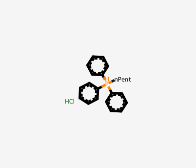 CCCCC[PH](c1ccccc1)(c1ccccc1)c1ccccc1.Cl